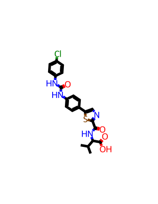 CC(C)C(NC(=O)c1ncc(-c2ccc(NC(=O)Nc3ccc(Cl)cc3)cc2)s1)C(=O)O